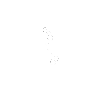 CCCC(NC(=O)c1ccc2oc3ccccc3c2c1)N1CCN(c2cccc3ccccc23)CC1.Cl